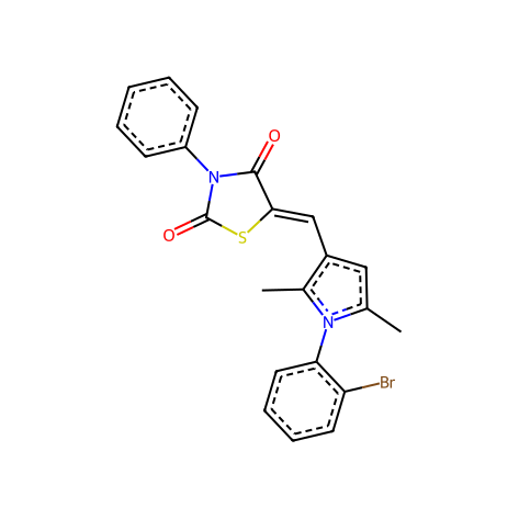 Cc1cc(C=C2SC(=O)N(c3ccccc3)C2=O)c(C)n1-c1ccccc1Br